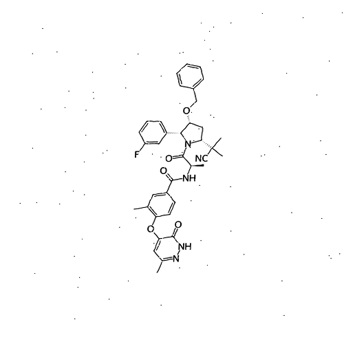 Cc1cc(Oc2ccc(C(=O)N[C@H](C)C(=O)N3[C@H](c4cccc(F)c4)[C@H](OCc4ccccc4)C[C@@H]3C(C)(C)C#N)cc2C)c(=O)[nH]n1